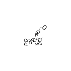 Cc1cccc(C2(CCN3CCC(Cc4ccccc4)CC3)CCN(C(=O)Cc3cccc(Cl)c3)CC2)c1.Cl